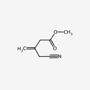 C=C(CC#N)CC(=O)OC